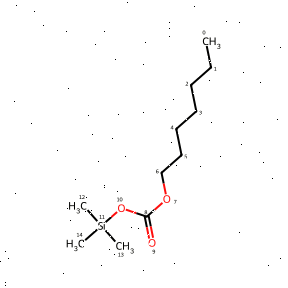 CCCCCCCOC(=O)O[Si](C)(C)C